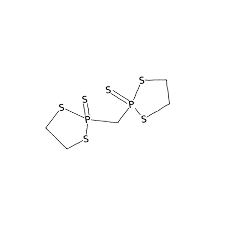 S=P1(CP2(=S)SCCS2)SCCS1